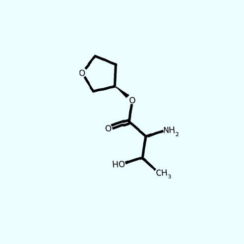 CC(O)C(N)C(=O)O[C@@H]1CCOC1